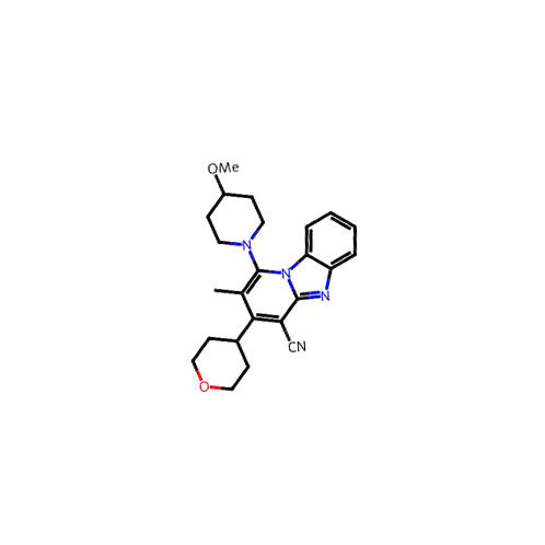 COC1CCN(c2c(C)c(C3CCOCC3)c(C#N)c3nc4ccccc4n23)CC1